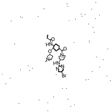 C=CC(=O)Nc1ccc(C(=O)N2CC[C@@H](Nc3ncc(Br)cn3)C2)cc1O[C@@H]1CCN(C)C1